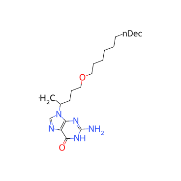 [CH2]C(CCCOCCCCCCCCCCCCCCCC)n1cnc2c(=O)[nH]c(N)nc21